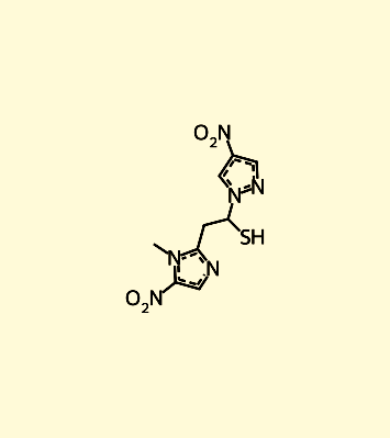 Cn1c([N+](=O)[O-])cnc1CC(S)n1cc([N+](=O)[O-])cn1